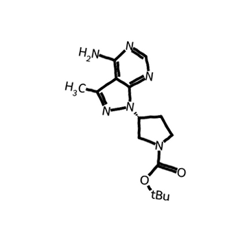 Cc1nn([C@@H]2CCN(C(=O)OC(C)(C)C)C2)c2ncnc(N)c12